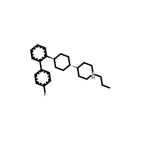 CCC[SiH]1CCC([C@H]2CC[C@H](c3ccccc3-c3ccc(F)cc3)CC2)CC1